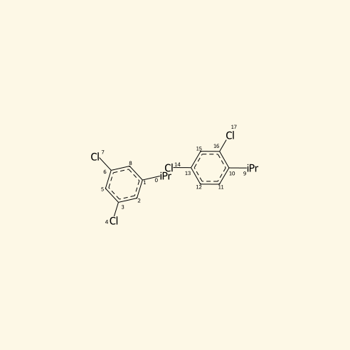 CC(C)c1cc(Cl)cc(Cl)c1.CC(C)c1ccc(Cl)cc1Cl